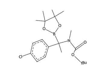 CN(C(=O)OC(C)(C)C)C(C)(B1OC(C)(C)C(C)(C)O1)c1ccc(Cl)cc1